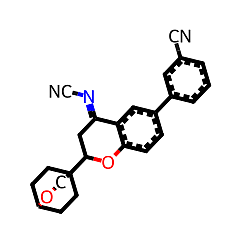 N#CN=C1CC(C23CCC(CC2)OC3)Oc2ccc(-c3cccc(C#N)c3)cc21